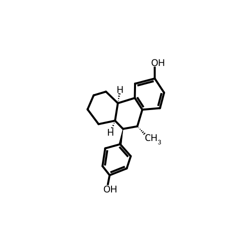 C[C@H]1c2ccc(O)cc2[C@@H]2CCCC[C@@H]2[C@@H]1c1ccc(O)cc1